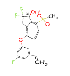 C=Cc1cc(F)cc(Oc2ccc(S(C)(=O)=O)c3c2CC(F)(F)[C@H]3O)c1